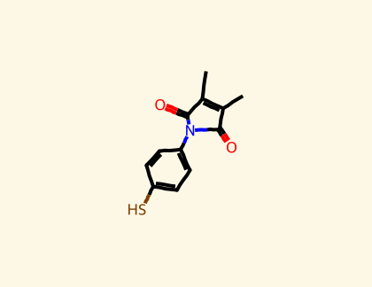 CC1=C(C)C(=O)N(c2ccc(S)cc2)C1=O